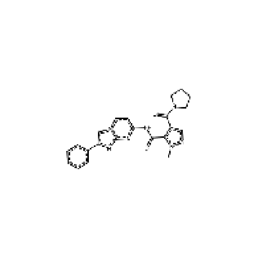 Cn1ncc(C(=O)N2CCCC2)c1C(=O)Nc1ccn2cc(-c3ccccc3)nc2n1